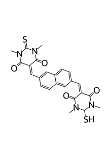 CN1C(=O)C(=Cc2ccc3cc(C=C4C(=O)N(C)C(S)N(C)C4=O)ccc3c2)C(=O)N(C)C1=S